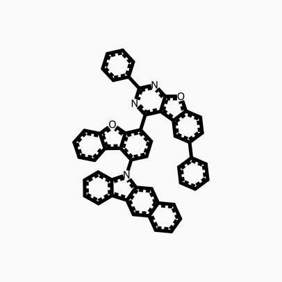 c1ccc(-c2ccc3oc4nc(-c5ccccc5)nc(-c5ccc(-n6c7ccccc7c7cc8ccccc8cc76)c6c5oc5ccccc56)c4c3c2)cc1